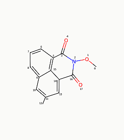 CON1C(=O)c2cccc3cc(C)cc(c23)C1=O